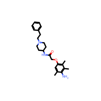 Cc1cc(OCC(=O)NC2CCN(CCc3ccccc3)CC2)c(C)c(C)c1N